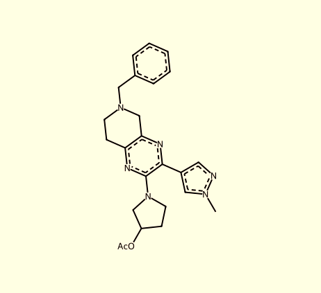 CC(=O)OC1CCN(c2nc3c(nc2-c2cnn(C)c2)CN(Cc2ccccc2)CC3)C1